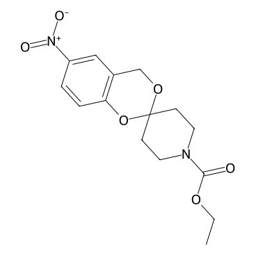 CCOC(=O)N1CCC2(CC1)OCc1cc([N+](=O)[O-])ccc1O2